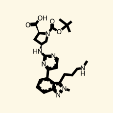 CNCCCc1c2c(-c3ccnc(N[C@H]4C[C@@H](C(=O)O)N(C(=O)OC(C)(C)C)C4)n3)cccc2nn1C